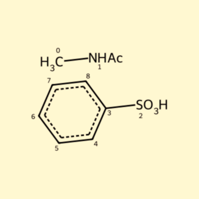 CNC(C)=O.O=S(=O)(O)c1ccccc1